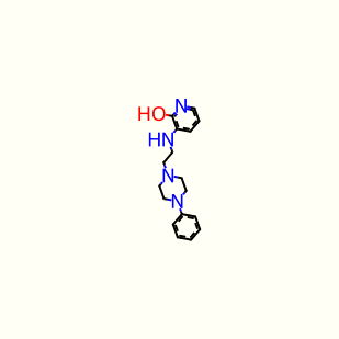 Oc1ncccc1NCCN1CCN(c2ccccc2)CC1